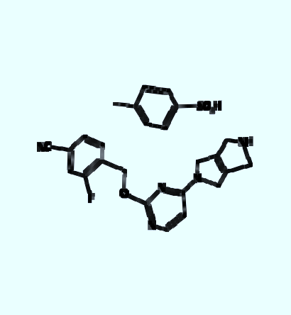 Cc1ccc(S(=O)(=O)O)cc1.N#Cc1ccc(COc2nccc(N3CC4=C(CNC4)C3)n2)c(F)c1